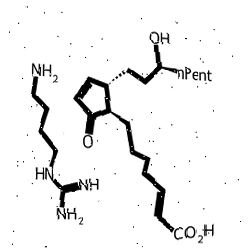 CCCCC[C@H](O)CC[C@H]1C=CC(=O)[C@@H]1CCCCC=CC(=O)O.N=C(N)NCCCCN